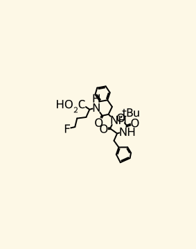 CC(C)(C)OC(=O)NC(Cc1ccccc1)C(=O)NC(Cc1ccccc1)C(=O)NC(CCCF)C(=O)O